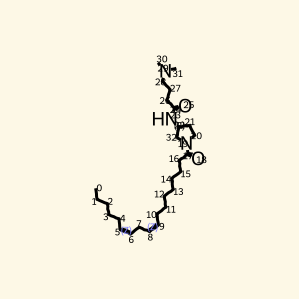 CCCCC/C=C\C/C=C\CCCCCCCC(=O)N1CC[C@@H](NC(=O)CCCN(C)C)C1